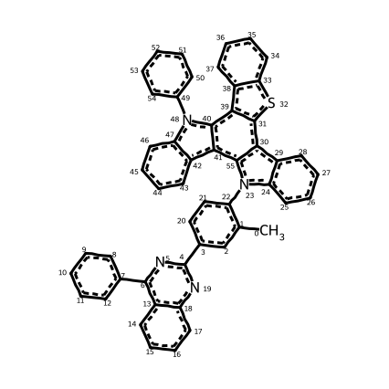 Cc1cc(-c2nc(-c3ccccc3)c3ccccc3n2)ccc1-n1c2ccccc2c2c3sc4ccccc4c3c3c(c4ccccc4n3-c3ccccc3)c21